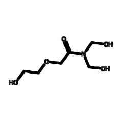 O=C(COCCO)N(CO)CO